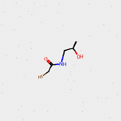 CC(O)CNC(=O)CS